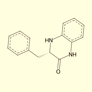 O=C1Nc2ccccc2N[C@H]1Cc1ccccc1